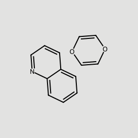 C1=COC=CO1.c1ccc2ncccc2c1